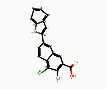 Cc1c(C(=O)O)cc2cc(-c3cc4ccccc4s3)ccc2c1Br